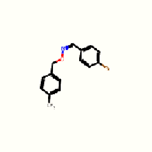 FC(F)(F)c1ccc(CO/N=[C]\c2ccc(Br)cc2)cc1